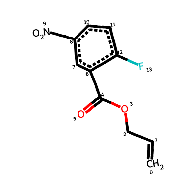 C=CCOC(=O)c1cc([N+](=O)[O-])ccc1F